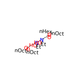 CCCCCCCCC(CCCCCC)COC(=O)CCCCCN(CCCN(CCCCCCCC(=O)OC(CCCCCCCC)CCCCCCCC)CC(O)CC)CC(O)CC